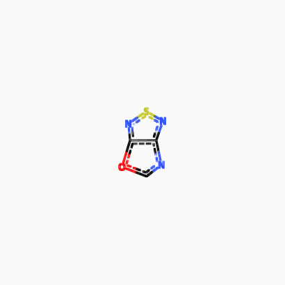 c1nc2nsnc2o1